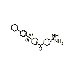 N=C(N)N1CCC(C(=O)N2CCC(S(=O)(=O)c3ccc(C4CCCCC4)cc3)CC2)CC1